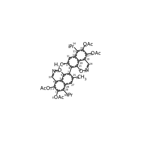 CC(=O)Oc1c(OC(C)=O)c2c3c(c(-c4c(C)cc5c(C(C)C)c(OC(C)=O)c(OC(C)=O)c6c5c4ON=C6)c(C)cc3c1C(C)C)ON=C2